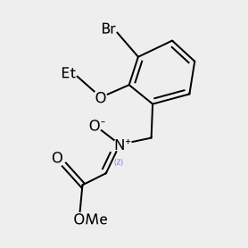 CCOc1c(Br)cccc1C/[N+]([O-])=C/C(=O)OC